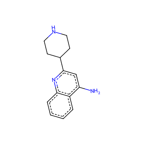 Nc1cc(C2CCNCC2)nc2ccccc12